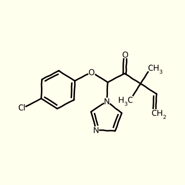 C=CC(C)(C)C(=O)C(Oc1ccc(Cl)cc1)n1ccnc1